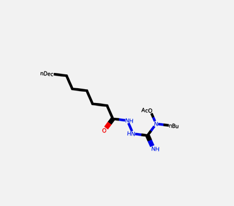 CCCCCCCCCCCCCCCC(=O)NNC(=N)N(CCCC)OC(C)=O